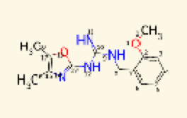 COc1ccccc1CNC(=N)Nc1nc(C)c(C)o1